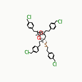 C[Si]1(CCc2ccc(CCl)cc2)O[SiH](CCc2ccc(CCl)cc2)C[C@H](CSCCc2ccc(CCl)cc2)[Si](C)(CCc2ccc(CCl)cc2)O1